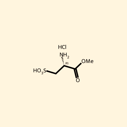 COC(=O)[C@@H](N)CS(=O)(=O)O.Cl